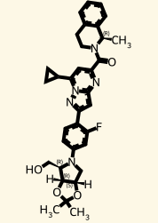 C[C@@H]1c2ccccc2CCN1C(=O)c1cc(C2CC2)n2nc(-c3ccc(N4C[C@@H]5OC(C)(C)O[C@@H]5[C@H]4CO)cc3F)cc2n1